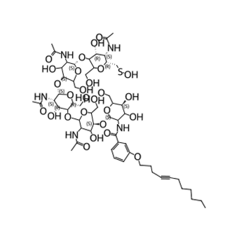 CCCCCCC#CCCCOc1cccc(C(=O)NC2C(O)[C@H](O)C(CO)O[C@H]2O[C@@H]2C(CO)OC(OC3[C@@H](CO)O[C@@H](O[C@@H]4C(CO)O[C@@H](OC5C(CO)O[C@@H](CSO)[C@@H](NC(C)=O)[C@H]5O)C(NC(C)=O)C4O)[C@@H](NC(C)=O)[C@H]3O)C(NC(C)=O)C2O)c1